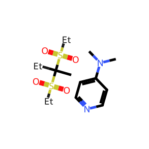 CCC(C)(S(=O)(=O)CC)S(=O)(=O)CC.CN(C)c1ccncc1